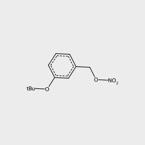 CC(C)(C)Oc1cccc(CO[N+](=O)[O-])c1